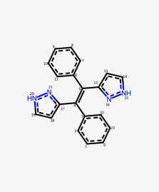 c1ccc(C(=C(c2ccccc2)c2cc[nH]n2)c2cc[nH]n2)cc1